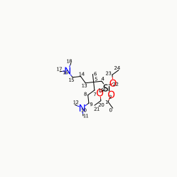 CCO[Si](CC(C)(CCCN(C)C)CCCN(C)C)(OCC)OCC